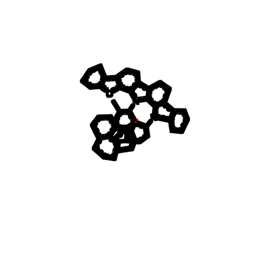 Cc1cc2ccccc2cc1-n1c2c(ccc3c4ccccc4oc32)c2ccc3c4ccccc4n(-c4ccc5c(c4)-c4cccc6cccc-5c46)c3c21